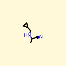 CC(C#N)NCC1CC1